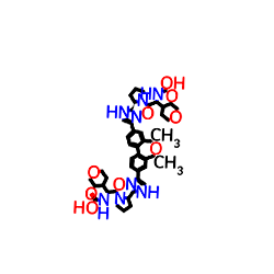 CC1OC(C)c2cc(-c3c[nH]c([C@@H]4CCCN4C(=O)C(NC(=O)O)C4CCOCC4)n3)ccc2-c2ccc(-c3c[nH]c(C4CCCN4C(=O)C(NC(=O)O)C4CCOCC4)n3)cc21